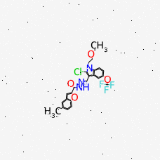 CCOCCn1c(Cl)c(/C=N/NC(=O)c2cc3cc(C)ccc3o2)c2cc(OC(F)(F)F)ccc21